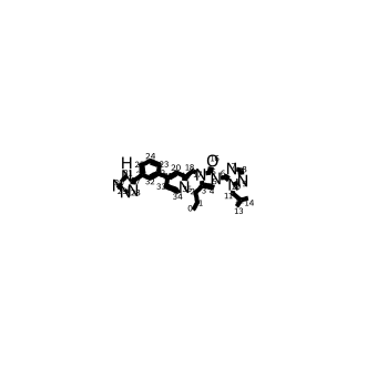 CCCc1cn(-c2ncnn2CC(C)C)c(=O)n1Cc1cc(-c2cccc(-c3nnn[nH]3)c2)ccn1